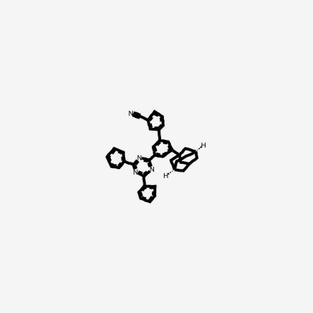 N#Cc1cccc(-c2cc(-c3nc(-c4ccccc4)nc(-c4ccccc4)n3)cc(C34CC5C[C@H](C3)C[C@@H](C5)C4)c2)c1